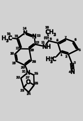 Cc1c(C#N)cccc1[C@@H](C)Nc1nnc(C)c2ccc(N3CC4CC(C3)O4)cc12